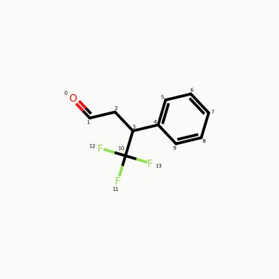 O=[C]CC(c1ccccc1)C(F)(F)F